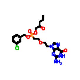 C=CCC(=O)COP(=O)(CCOCCn1cnc2c(=O)[nH]c(N)nc21)OCc1cccc(Cl)c1